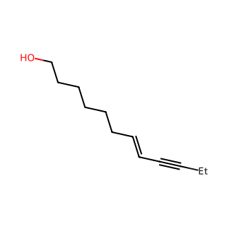 CCC#CC=CCCCCCCO